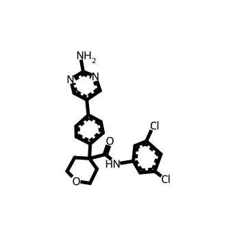 Nc1ncc(-c2ccc(C3(C(=O)Nc4cc(Cl)cc(Cl)c4)CCOCC3)cc2)cn1